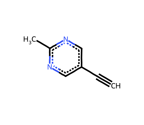 C#Cc1cnc(C)nc1